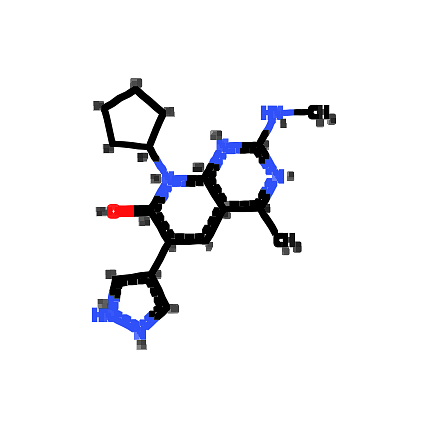 CNc1nc(C)c2cc(-c3cn[nH]c3)c(=O)n(C3CCCC3)c2n1